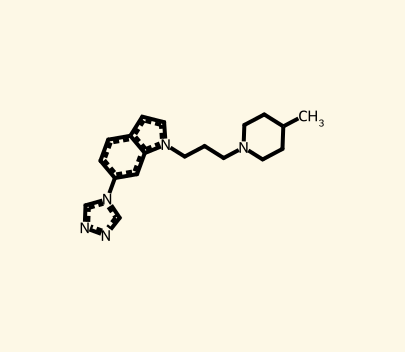 CC1CCN(CCCn2ccc3ccc(-n4cnnc4)cc32)CC1